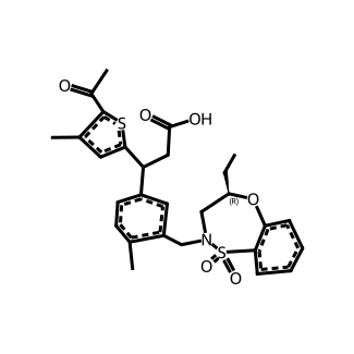 CC[C@@H]1CN(Cc2cc(C(CC(=O)O)c3cc(C)c(C(C)=O)s3)ccc2C)S(=O)(=O)c2ccccc2O1